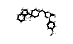 COc1ccc(N2CC(CN3CCC(O)(c4c[nH]c5ccccc45)CC3)OC2=O)cc1